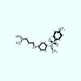 CCCN(C)CCCO[C@H]1CC[C@H](N(C)S(=O)(=O)c2ccc(C(F)(F)F)cc2)CC1